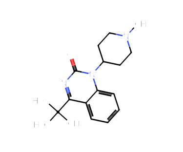 CN1CCC(n2c(=O)nc(C(C)(C)C)c3ccccc32)CC1